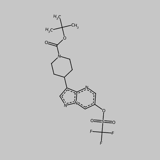 CC(C)(C)OC(=O)N1CCC(c2cnn3cc(OS(=O)(=O)C(F)(F)F)cnc23)CC1